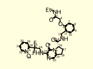 CCNC(=O)COc1ccccc1CNC(=O)[C@@H]1CCc2cnc(NCC(F)(F)c3cccc[n+]3[O-])c(=O)n21